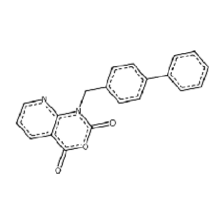 O=c1oc(=O)n(Cc2ccc(-c3ccccc3)cc2)c2ncccc12